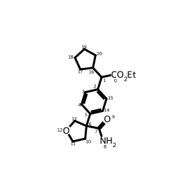 CCOC(=O)C(c1ccc(C2(C(N)=O)CCOC2)cc1)C1CCCC1